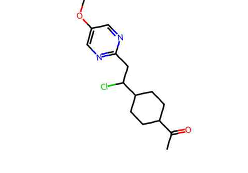 COc1cnc(CC(Cl)C2CCC(C(C)=O)CC2)nc1